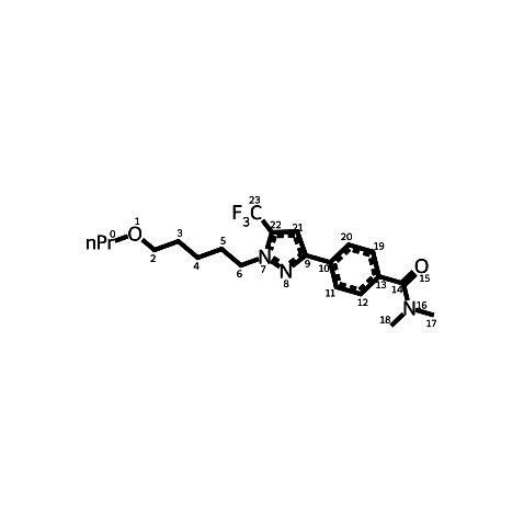 CCCOCCCCCn1nc(-c2ccc(C(=O)N(C)C)cc2)cc1C(F)(F)F